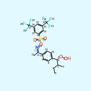 CCC(C)C(OO)c1ccc(/C(C)=N\OS(=O)(=O)c2cc(C(F)(F)F)cc(C(F)(F)F)c2)cc1